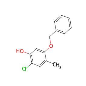 Cc1cc(Cl)c(O)cc1OCc1ccccc1